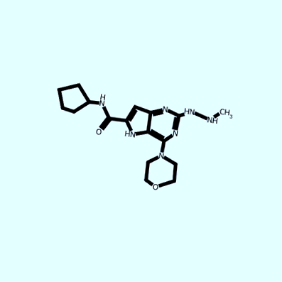 CNNc1nc(N2CCOCC2)c2[nH]c(C(=O)NC3CCCC3)cc2n1